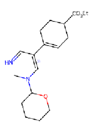 CCOC(=O)C1CC=C(/C(C=N)=C/N(C)C2CCCCO2)CC1